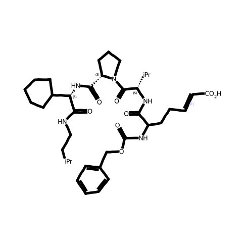 CC(C)CCNC(=O)[C@@H](NC(=O)[C@@H]1CCCN1C(=O)[C@@H](NC(=O)C(CC/C=C/C(=O)O)NC(=O)OCc1ccccc1)C(C)C)C1CCCCC1